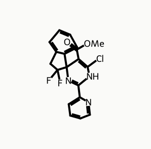 COC(=O)C1=C(Cl)NC(c2ccccn2)=NC12c1ccccc1CC2(F)F